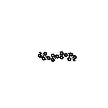 Cc1ccc2c(oc3c(C(C)(C)C)cccc32)c1N(c1ccccc1)c1ccc(-c2cccc3c2c2cccc4c5cc6c(cc5n3c42)c2cccc3c4c(-c5ccc(N(c7ccccc7)c7c(C)ccc8c7oc7c(C(C)(C)C)cccc78)cc5)cccc4n6c23)cc1